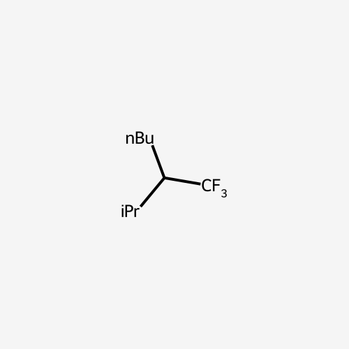 C[CH]CCC(C(C)C)C(F)(F)F